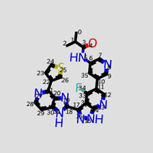 CC(C)C(=O)Nc1cncc(-c2cnc3[nH]nc(-c4nc5c(-c6ccsc6)nccc5[nH]4)c3c2F)c1